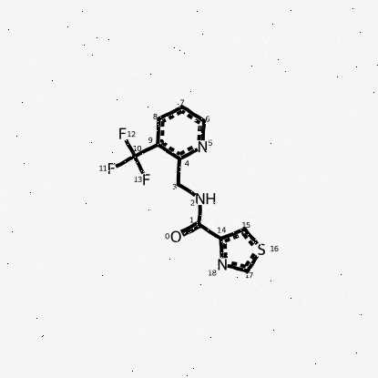 O=C(NCc1ncccc1C(F)(F)F)c1cscn1